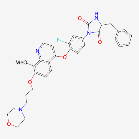 COc1c(OCCCN2CCOCC2)ccc2c(Oc3ccc(N4C(=O)NC(Cc5ccccc5)C4=O)cc3F)ccnc12